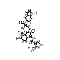 O=C(c1ccc2[nH]ncc2c1)N1CCC2(CC1)C(=O)N(CC(=O)N1CCCC1C(F)(F)F)c1ccc(F)c(Cl)c12